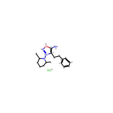 CC1CCCC(C)N1[n+]1noc([NH-])c1CCc1ccccc1.Cl